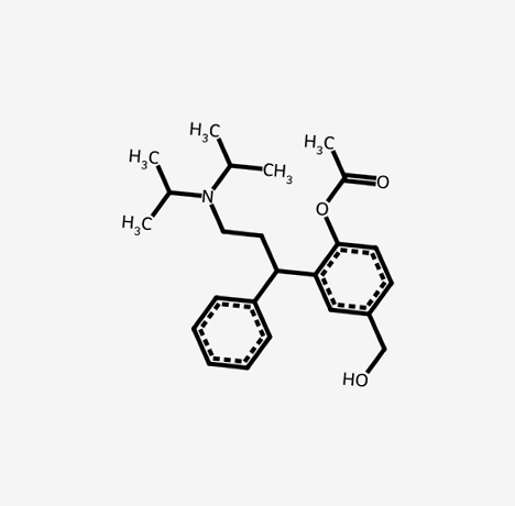 CC(=O)Oc1ccc(CO)cc1C(CCN(C(C)C)C(C)C)c1ccccc1